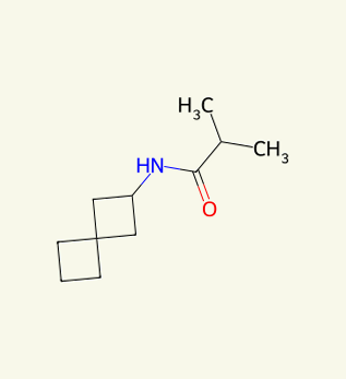 CC(C)C(=O)NC1CC2(CCC2)C1